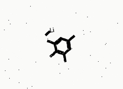 Cc1[c]c(C)c(C)c(C)c1.[Li][CH3]